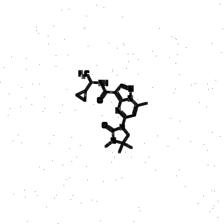 Cc1cc(N2CC(C)(C)N(C)C2=O)nc2c(C(=O)NC(C3CC3)C(F)(F)F)cnn12